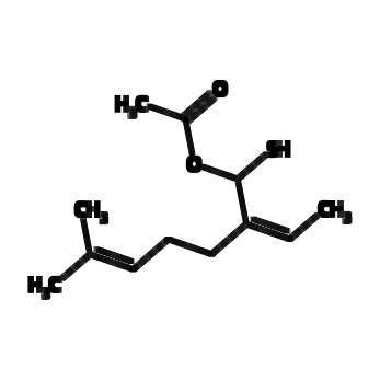 CC=C(CCC=C(C)C)C(S)OC(C)=O